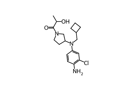 CC(O)C(=O)N1CCC(N(CC2CCC2)c2ccc(N)c(Cl)c2)C1